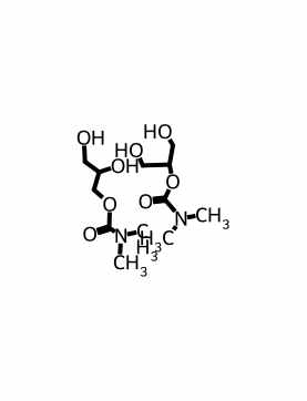 CN(C)C(=O)OC(CO)CO.CN(C)C(=O)OCC(O)CO